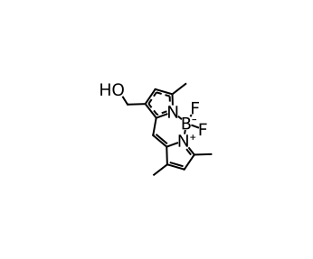 CC1=CC(C)=[N+]2C1=Cc1c(CO)cc(C)n1[B-]2(F)F